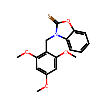 COc1cc(OC)c(Cn2c(=S)oc3ccccc32)c(OC)c1